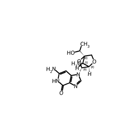 CC(O)[C@@]12CO[C@@H]([C@H](n3cnc4c(=O)[nH]c(N)cc43)O1)[C@@H]2C